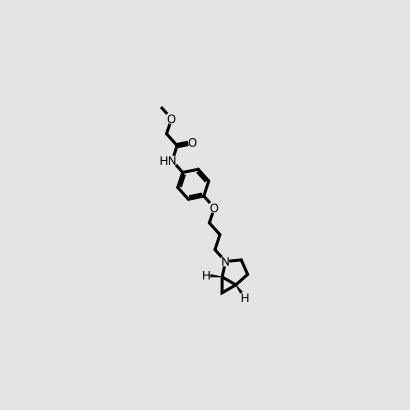 COCC(=O)Nc1ccc(OCCCN2CC[C@@H]3C[C@@H]32)cc1